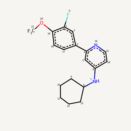 Fc1cc(-c2cc(NC3CCCCC3)ccn2)ccc1OC(F)(F)F